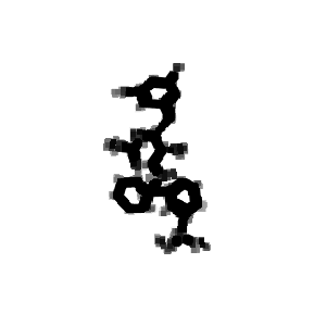 CC(=O)N[C@@H](Cc1cc(F)cc(F)c1)[C@H](O)CNC1(c2cccc(N(C)C)c2)CCCCC1